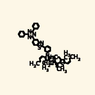 C=C/C=C\c1sc(/C(=C\C)C(=C)/C=C\c2c(C)c(C)c(/C=C\C=C)n2-c2cccc(-c3nc4cc(-c5nc(-c6ccccc6)nc(-c6ccccc6)n5)ccc4s3)c2)c(C=C)c1C